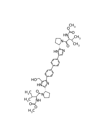 COC(=O)N[C@H](C(=O)N1CCC[C@H]1c1ncc(-c2ccc(-c3ccc(-c4nc([C@@H]5CCCN5C(=O)[C@@H](NC(=O)OC)C(C)C)[nH]c4CO)cc3)cc2)[nH]1)C(C)C